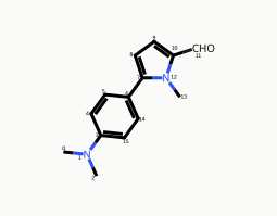 CN(C)c1ccc(-c2ccc(C=O)n2C)cc1